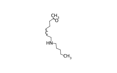 CCCCCNCC=C=CCCC(C)=O